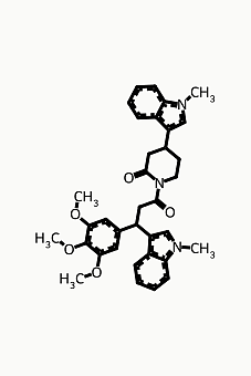 COc1cc(C(CC(=O)N2CCC(c3cn(C)c4ccccc34)CC2=O)c2cn(C)c3ccccc23)cc(OC)c1OC